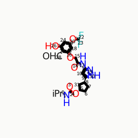 CC(C)NC(=O)O[C@@H]1CC[C@H](c2cc(NC(=O)COc3cc(OC(F)F)cc(O)c3C=O)n[nH]2)C1